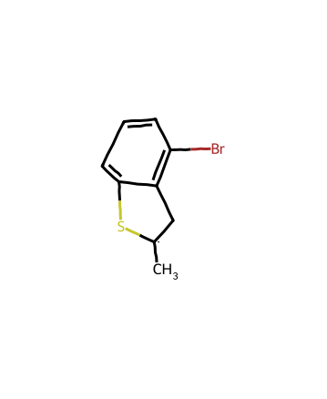 C[C]1Cc2c(Br)cccc2S1